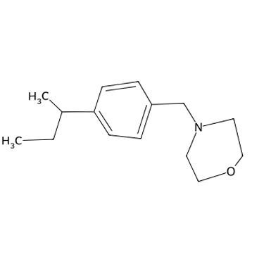 CCC(C)c1ccc(CN2CCOCC2)cc1